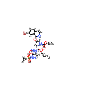 C=C[C@@H]1C[C@]1(NC(=O)[C@@H]1C[C@@H](Oc2nccc3ccc(Br)cc23)CN1C(=O)OC(C)(C)C)C(=O)NS(=O)(=O)C1CC1